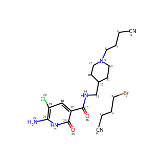 N#CCCCBr.N#CCCCN1CCC(CNC(=O)c2cc(Cl)c(N)[nH]c2=O)CC1